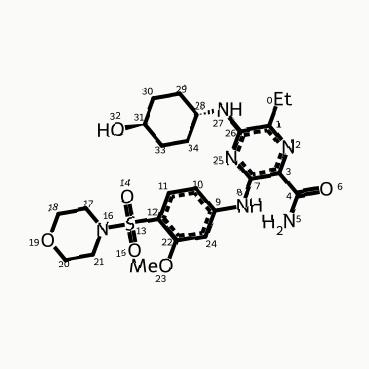 CCc1nc(C(N)=O)c(Nc2ccc(S(=O)(=O)N3CCOCC3)c(OC)c2)nc1N[C@H]1CC[C@H](O)CC1